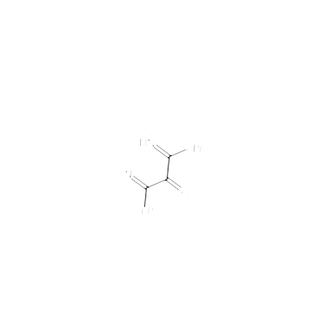 CCCC(=N)C(=O)C(=N)CCC